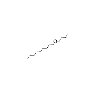 C[CH]CCOCCCCCCCCC